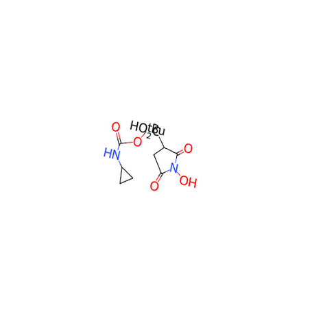 CC(C)(C)OC(=O)NC1CC1.O=C(O)C1CC(=O)N(O)C1=O